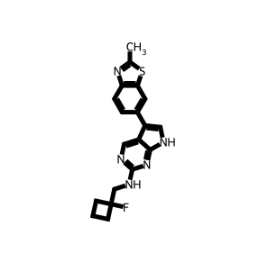 Cc1nc2ccc(-c3c[nH]c4nc(NCC5(F)CCC5)ncc34)cc2s1